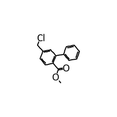 COC(=O)c1ccc(CCl)cc1-c1ccccc1